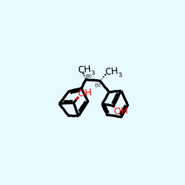 C[C@H](C1C2=CC=CC1=C2O)[C@@H](C)c1cc2c(O)c(c1)C2